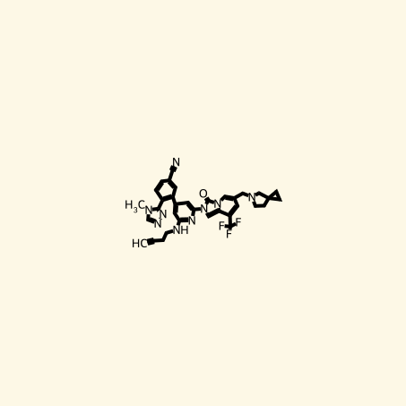 C#CCCNc1cc(-c2cc(C#N)ccc2-c2nncn2C)cc(-n2cc3c(C(F)(F)F)cc(CN4CCC5(CC5)C4)cn3c2=O)n1